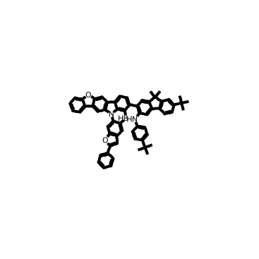 CC(C)(C)c1ccc(Nc2cc3c(cc2-c2ccc4c5cc6oc7ccccc7c6cc5n5c4c2Bc2cc4cc(-c6ccccc6)oc4cc2-5)C(C)(C)c2cc(C(C)(C)C)ccc2-3)cc1